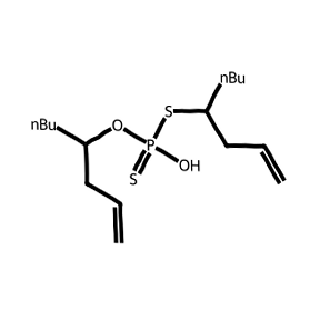 C=CCC(CCCC)OP(O)(=S)SC(CC=C)CCCC